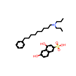 CCCN(CCC)CCCCCCCCCc1ccccc1.O=S(=O)(O)c1cc(O)c2cc(O)ccc2c1